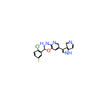 CC(Oc1cc(-c2c[nH]c3ccncc23)cnc1N)c1cc(F)ccc1Cl